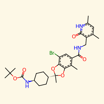 Cc1cc(C)c(CNC(=O)c2cc(Br)c3c(c2C)OC(C)([C@H]2CC[C@H](NC(=O)OC(C)(C)C)CC2)O3)c(=O)[nH]1